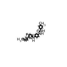 Cc1ccc(NC(=O)Nc2ccc(Nc3ncc(F)c(-c4cnn(C)c4)n3)cc2)cc1